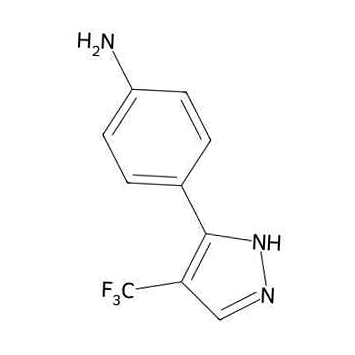 Nc1ccc(-c2[nH]ncc2C(F)(F)F)cc1